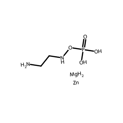 NCCNOP(=O)(O)O.[MgH2].[Zn]